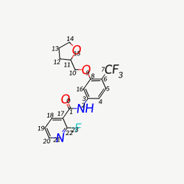 O=C(Nc1ccc(C(F)(F)F)c(OCC2CCCO2)c1)c1cccnc1F